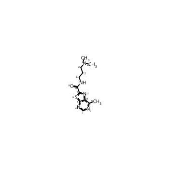 Cc1ncnc2sc(C(=O)NCCCN(C)C)nc12